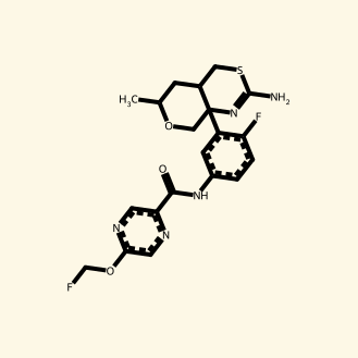 CC1CC2CSC(N)=NC2(c2cc(NC(=O)c3cnc(OCF)cn3)ccc2F)CO1